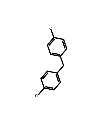 Clc1[c]cc(Cc2ccc(Cl)cc2)cc1